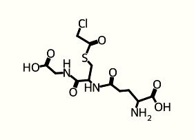 NC(CCC(=O)NC(CSC(=O)CCl)C(=O)NCC(=O)O)C(=O)O